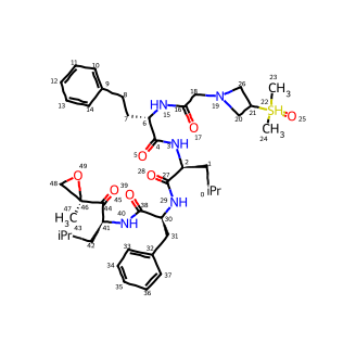 CC(C)C[C@H](NC(=O)[C@H](CCc1ccccc1)NC(=O)CN1CC([SH](C)(C)=O)C1)C(=O)N[C@@H](Cc1ccccc1)C(=O)N[C@@H](CC(C)C)C(=O)[C@@]1(C)CO1